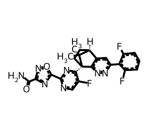 CC1(C)[C@H]2CC[C@]1(c1nc(-c3nc(C(N)=O)no3)ncc1F)c1nnc(-c3c(F)cccc3F)cc12